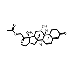 CC[C@@H]1C[C@H]2[C@@H]3C=CC4=CC(=O)CC[C@]4(C)[C@H]3[C@@H](O)C[C@]2(C)[C@@]1(O)C(=O)COC(C)=O